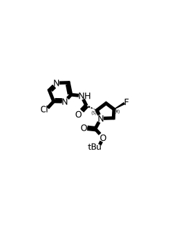 CC(C)(C)OC(=O)N1C[C@H](F)C[C@H]1C(=O)Nc1cncc(Cl)n1